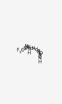 Cc1c(CN2CCC(Nc3ncnc4sc(CC(F)(F)F)cc34)CC2)ccc2c1ccn2CC(=O)N1CCNCC1